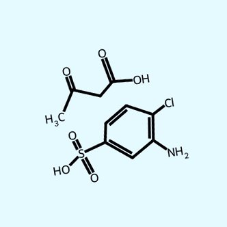 CC(=O)CC(=O)O.Nc1cc(S(=O)(=O)O)ccc1Cl